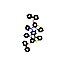 c1ccc(-c2ccccc2Oc2cc3c4c(c2)N(c2ccccc2)c2cc5c(cc2B4c2ccccc2S3)B2c3ccccc3Sc3cc(Oc4ccccc4-c4ccccc4)cc(c32)N5c2ccccc2)cc1